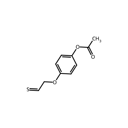 CC(=O)Oc1ccc(OCC=S)cc1